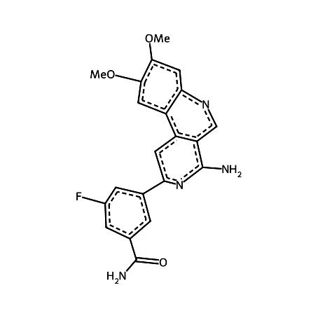 COc1cc2ncc3c(N)nc(-c4cc(F)cc(C(N)=O)c4)cc3c2cc1OC